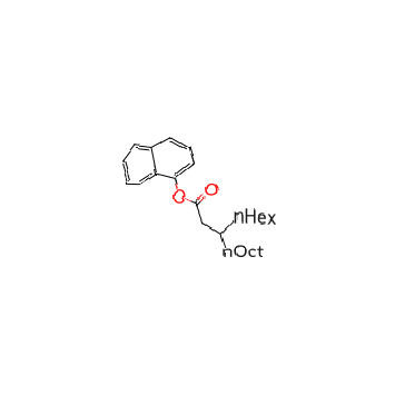 CCCCCCCCC(CCCCCC)CC(=O)Oc1cccc2ccccc12